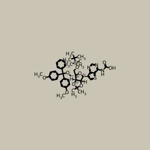 COc1ccc(C(OC[C@]2(CO[Si](C)(C)C(C)(C)C)O[C@@H](c3csc4c(NC(=O)O)ncnc34)[C@@H]3OC(C)(C)O[C@@H]32)(c2ccccc2)c2ccc(OC)cc2)cc1